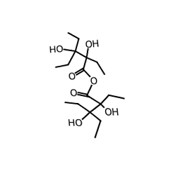 CCC(O)(CC)C(O)(CC)C(=O)OC(=O)C(O)(CC)C(O)(CC)CC